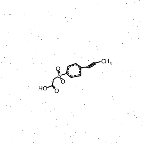 CC#Cc1ccc(S(=O)(=O)CC(=O)O)cc1